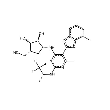 Cc1nc(N[C@H](C)C(F)(F)F)nc(N[C@@H]2C[C@H](CO)[C@@H](O)[C@H]2O)c1-c1nc2c(C)nccc2s1